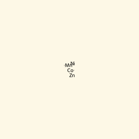 [Co].[Mn].[Ni].[Zn]